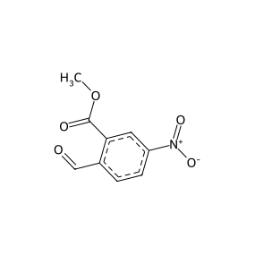 COC(=O)c1cc([N+](=O)[O-])ccc1C=O